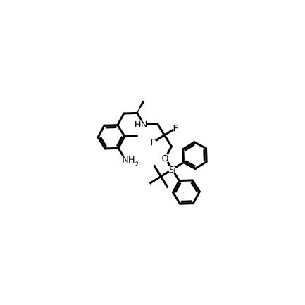 Cc1c(N)cccc1C[C@@H](C)NCC(F)(F)CO[Si](c1ccccc1)(c1ccccc1)C(C)(C)C